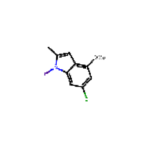 COc1cc(Cl)cc2c1cc(C)n2I